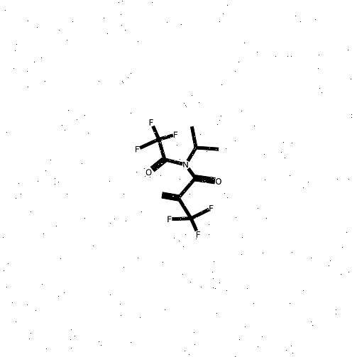 C=C(C(=O)N(C(=O)C(F)(F)F)C(C)C)C(F)(F)F